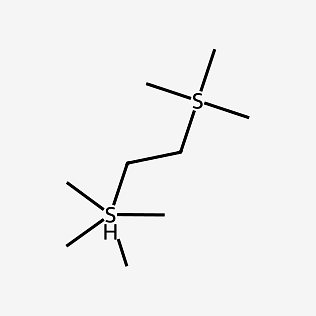 CS(C)(C)CC[SH](C)(C)(C)C